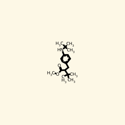 COC(=O)C(Cc1ccc(NC(C)(C)C)cc1)C(C)(C)C